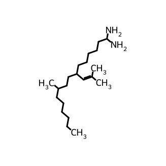 CCCCCCC(C)CCC(C=C(C)C)CCCCCC(N)N